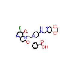 O=C(O)c1ccccc1.O=c1ccc2ncc(F)c3c2n1[C@H](CN1CCC(NCc2cc4c(cn2)OCCO4)CC1)CO3